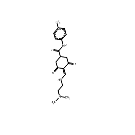 CN(C)CCNC=C1C(=O)CC(C(=O)Nc2ccc(C(F)(F)F)cc2)CC1=O